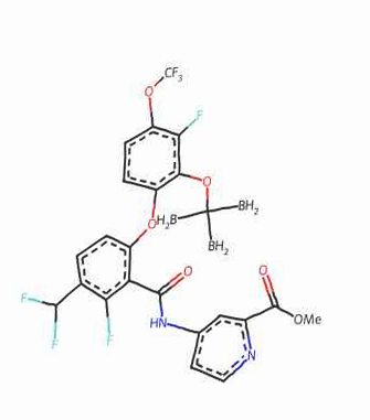 BC(B)(B)Oc1c(Oc2ccc(C(F)F)c(F)c2C(=O)Nc2ccnc(C(=O)OC)c2)ccc(OC(F)(F)F)c1F